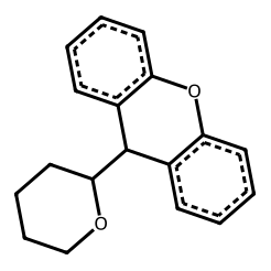 c1ccc2c(c1)Oc1ccccc1C2C1CCCCO1